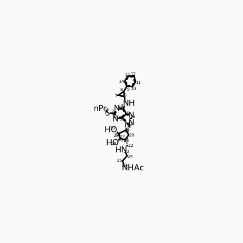 CCCSc1nc(NC2CC2c2ccccc2)c2nnn([C@@H]3C[C@H](CNCCNC(C)=O)[C@@H](O)[C@H]3O)c2n1